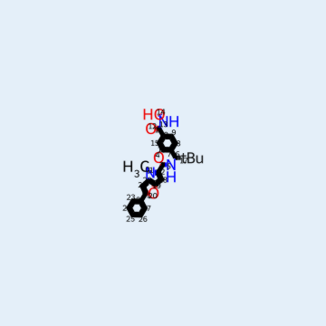 Cn1c(C(=O)NC(c2ccc(C(=O)NO)cc2)C(C)(C)C)cc2oc(-c3ccccc3)cc21